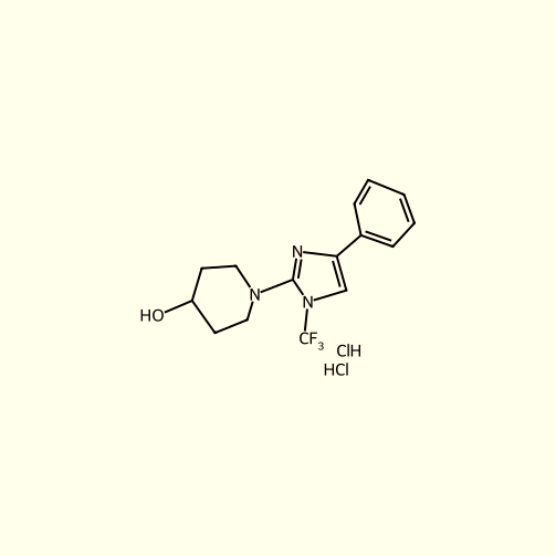 Cl.Cl.OC1CCN(c2nc(-c3ccccc3)cn2C(F)(F)F)CC1